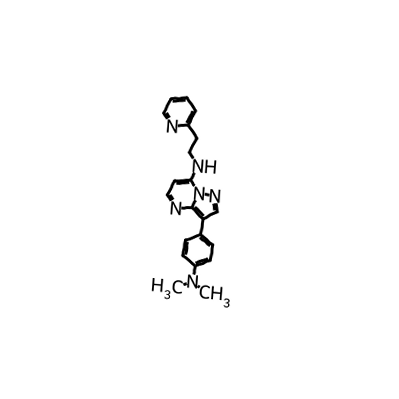 CN(C)c1ccc(-c2cnn3c(NCCc4ccccn4)ccnc23)cc1